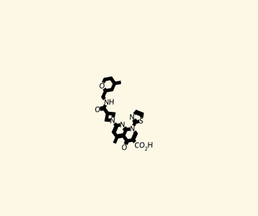 Cc1cc(N2CC(C(=O)NCC3CC(C)CCO3)C2)nc2c1c(=O)c(C(=O)O)cn2-c1nccs1